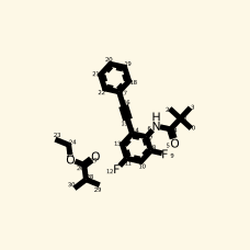 CC(C)(C)C(=O)Nc1c(F)cc(F)cc1C#Cc1ccccc1.CCOC(=O)C(C)C